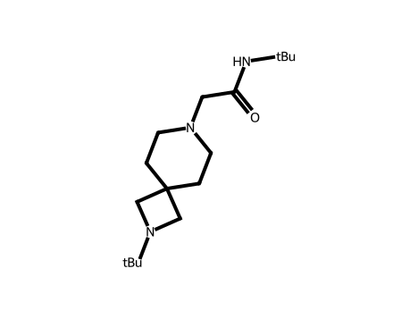 CC(C)(C)NC(=O)CN1CCC2(CC1)CN(C(C)(C)C)C2